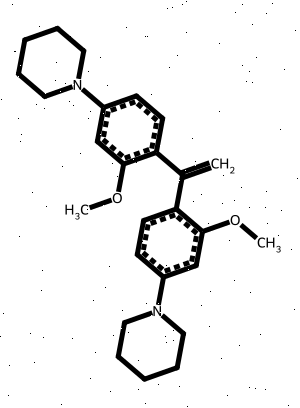 C=C(c1ccc(N2CCCCC2)cc1OC)c1ccc(N2CCCCC2)cc1OC